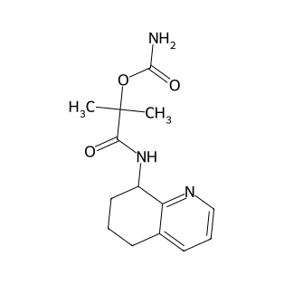 CC(C)(OC(N)=O)C(=O)NC1CCCc2cccnc21